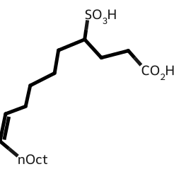 CCCCCCCC/C=C\CCCCC(CCC(=O)O)S(=O)(=O)O